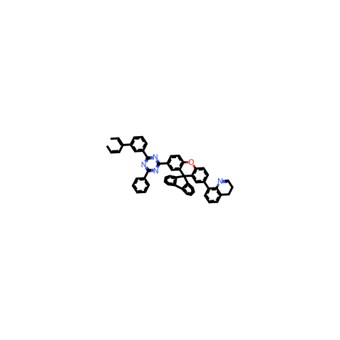 C/C=C\C(=C/C)c1cccc(-c2nc(-c3ccccc3)nc(-c3ccc4c(c3)C3(c5cc(-c6cccc7c6N=CCC7)ccc5O4)c4ccccc4-c4ccccc43)n2)c1